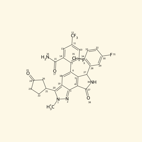 Cn1nc2c3c(c(-c4c(F)cc(C(F)(F)F)cc4C(N)=O)cc2c1C1CCC(=O)C1)C(c1cc(F)ccc1Cl)NC3=O